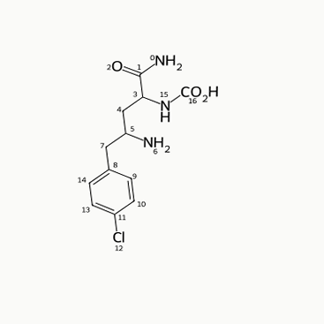 NC(=O)C(CC(N)Cc1ccc(Cl)cc1)NC(=O)O